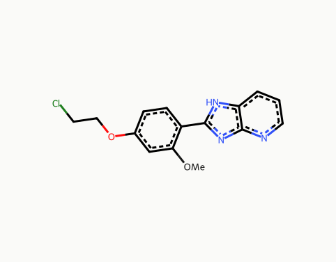 COc1cc(OCCCl)ccc1-c1nc2ncccc2[nH]1